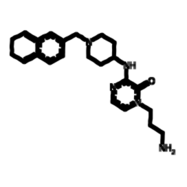 NCCCn1ccnc(NC2CCN(Cc3ccc4c(c3)=CCCC=4)CC2)c1=O